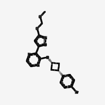 COCOc1cc(-c2nccnc2O[C@H]2C[C@@H](c3ccc(Br)cc3)C2)on1